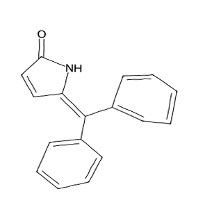 O=C1C=CC(=C(c2ccccc2)c2ccccc2)N1